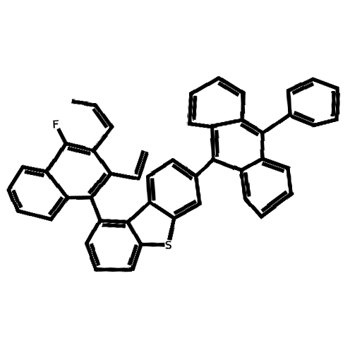 C=Cc1c(/C=C\C)c(F)c2ccccc2c1-c1cccc2sc3cc(-c4c5ccccc5c(-c5ccccc5)c5ccccc45)ccc3c12